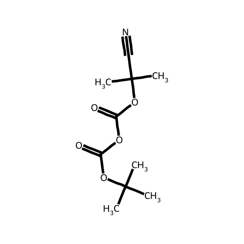 CC(C)(C)OC(=O)OC(=O)OC(C)(C)C#N